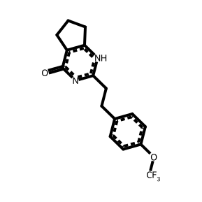 O=c1nc(CCc2ccc(OC(F)(F)F)cc2)[nH]c2c1CCC2